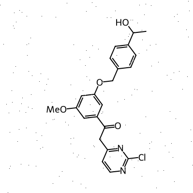 COc1cc(OCc2ccc(C(C)O)cc2)cc(C(=O)Cc2ccnc(Cl)n2)c1